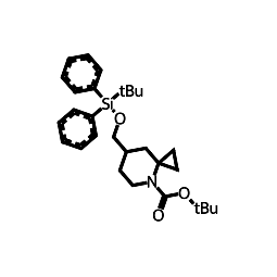 CC(C)(C)OC(=O)N1CCC(CO[Si](c2ccccc2)(c2ccccc2)C(C)(C)C)CC12CC2